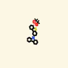 CC1(C)OB(c2cccc3c2sc2ccc(-n4c5ccccc5c5ccccc54)cc23)OC1(C)C